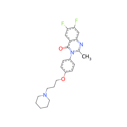 Cc1nc2cc(F)c(F)cc2c(=O)n1-c1ccc(OCCCN2CCCCC2)cc1